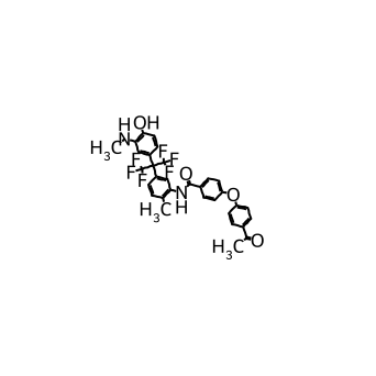 CNc1cc(C(c2ccc(C)c(NC(=O)c3ccc(Oc4ccc(C(C)=O)cc4)cc3)c2)(C(F)(F)F)C(F)(F)F)ccc1O